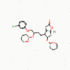 O=C1CC2C(CC[C@H](COc3cccc(Cl)c3)OC3CCCCO3)C(OC3CCCCO3)C[C@@H]2O1